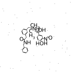 CC(C)(Cc1cccc(CC(=O)NCc2ccccc2)c1)NC[C@@H](O)c1ccc(O)c(NC=O)c1